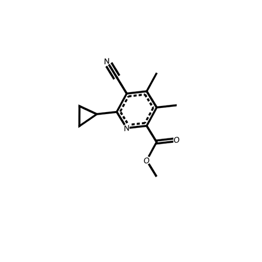 COC(=O)c1nc(C2CC2)c(C#N)c(C)c1C